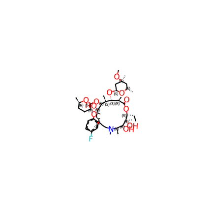 CC[C@H]1OC(=O)[C@H](C)[C@@H](O[C@H]2C[C@@](C)(OC)C[C@H](C)O2)[C@H](C)[C@@H](O[C@@H]2O[C@H](C)CC[C@H]2Oc2ccc(F)cc2)[C@](C)(O)C[C@@H](C)CN(C)[C@H](C)[C@@H](O)[C@]1(C)O